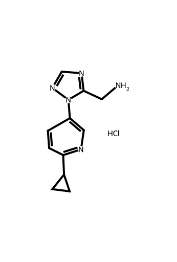 Cl.NCc1ncnn1-c1ccc(C2CC2)nc1